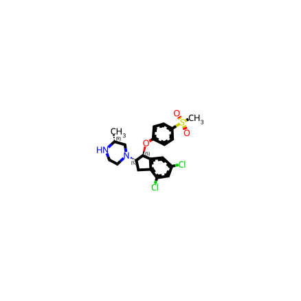 C[C@@H]1CN([C@H]2Cc3c(Cl)cc(Cl)cc3[C@@H]2Oc2ccc(S(C)(=O)=O)cc2)CCN1